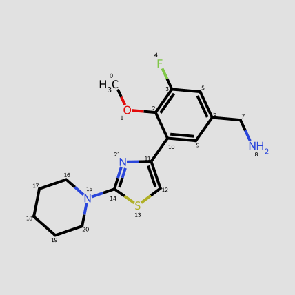 COc1c(F)cc(CN)cc1-c1csc(N2CCCCC2)n1